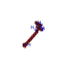 CCn1nc(C)cc1C(=O)Nc1nc2c(OCCCN3CCN(CCOCCOCCOCCOCCOCCOCCOCCOCCOCCOCCNC(=O)CN4C(=O)C=CC4=O)CC3)cc(C(N)=O)c(C/C=C/Cn3c(NC(=O)c4cc(C)nn4CC)nc4cc(C(N)=O)ccc43)c2[nH]1